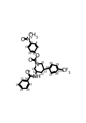 C[N+](=O)c1ccc(OC(=O)N2CC(NC(=O)c3ccccc3)CC(c3ccc(C(F)(F)F)cc3)C2)cc1